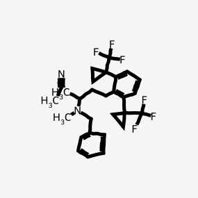 CC#N.CC(CCc1c(C2(C(F)(F)F)CC2)cccc1C1(C(F)(F)F)CC1)N(C)Cc1ccccc1